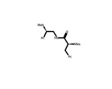 CN[C@@H](CNC(=O)[C@H](CC(C)=O)NC)C(C)=O